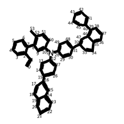 C=Cc1ccccc1-c1cc(N(c2ccc(-c3ccc4ccccc4c3)cc2)c2ccc(-c3ccc4cccc(-c5ccccc5)c4c3)cc2)ccc1C